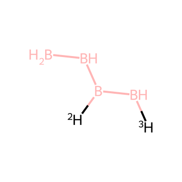 [2H]B(B[3H])BB